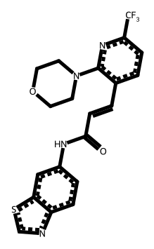 O=C(/C=C/c1ccc(C(F)(F)F)nc1N1CCOCC1)Nc1ccc2ncsc2c1